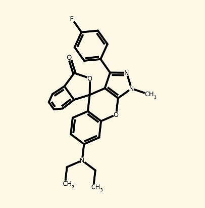 CCN(CC)c1ccc2c(c1)Oc1c(c(-c3ccc(F)cc3)nn1C)C21OC(=O)c2ccccc21